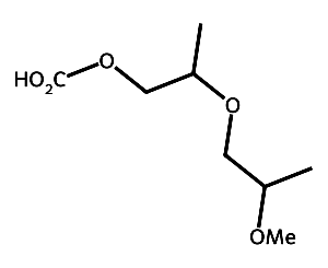 COC(C)COC(C)COC(=O)O